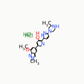 COc1cc(-c2cnc(-c3ccc(N4CCNC(C)C4)nn3)c(O)c2)cc2cn(C)nc12.Cl.Cl